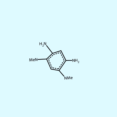 CNc1cc(NC)c(N)cc1N